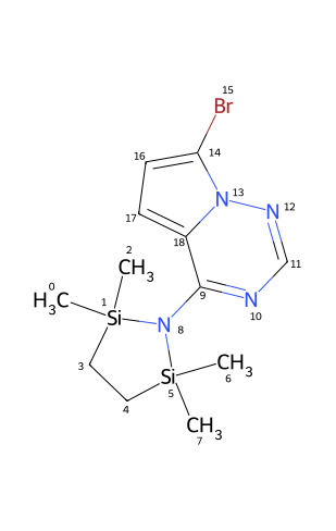 C[Si]1(C)CC[Si](C)(C)N1c1ncnn2c(Br)ccc12